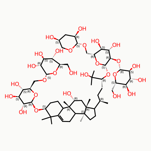 C[C@H](CC[C@@H](O[C@@H]1O[C@H](CO[C@@H]2OC[C@@H](O)C[C@H]2O)[C@@H](O)[C@H](O)[C@H]1O[C@H]1O[C@@H](CO)[C@H](O)[C@@H](O)[C@@H]1O)C(C)(C)O)C1CC[C@@]2(C)C3CC=C4C(CC[C@H](O[C@@H]5O[C@H](CO[C@H]6O[C@H](CO)[C@@H](O)[C@H](O)[C@H]6O)[C@@H](O)[C@H](O)[C@H]5O)C4(C)C)[C@]3(C)[C@H](O)C[C@]12C